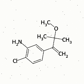 C=C(c1ccc(Cl)c(N)c1)C(C)(C)OC